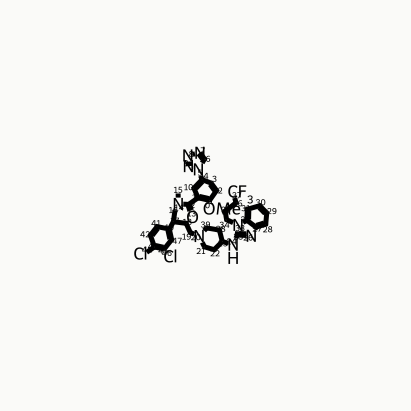 COc1ccc(-n2cnnn2)cc1C(=O)N(C)CC(CCN1CCC(Nc2nc3ccccc3n2CCCC(F)(F)F)CC1)c1ccc(Cl)c(Cl)c1